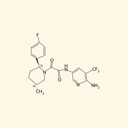 C[C@@H]1CC[C@@H](c2ccc(F)cc2)N(C(=O)C(=O)Nc2cnc(N)c(C(F)(F)F)c2)C1